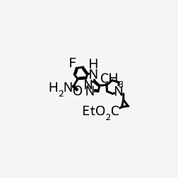 CCOC(=O)C1CC1CN1CCC(C)(c2cnn3c2[nH]c2cc(F)cc(C(N)=O)c23)CC1